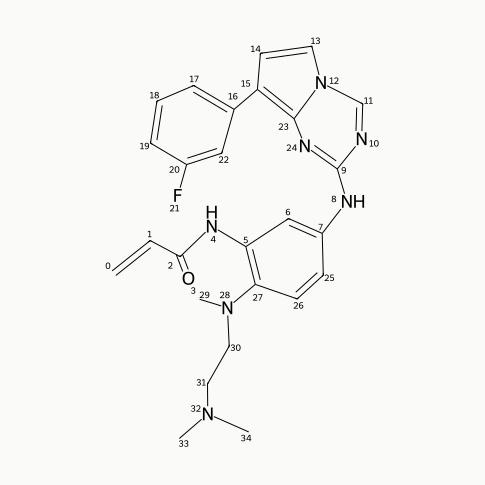 C=CC(=O)Nc1cc(Nc2ncn3ccc(-c4cccc(F)c4)c3n2)ccc1N(C)CCN(C)C